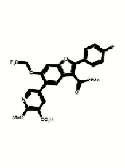 CNC(=O)c1c(-c2ccc(F)cc2)oc2cc(OCC(F)(F)F)c(-c3cnc(OC)c(C(=O)O)c3)cc12